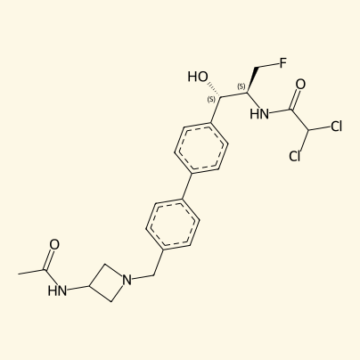 CC(=O)NC1CN(Cc2ccc(-c3ccc([C@H](O)[C@@H](CF)NC(=O)C(Cl)Cl)cc3)cc2)C1